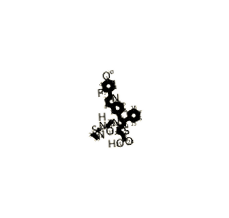 COc1ccc(-c2ccc3cc(-c4c(-c5ccccc5)c5sc(C(=O)O)cc5n4CC(=O)Nc4nccs4)ccc3n2)c(F)c1